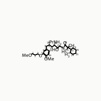 COCCCOc1cc(C[C@@H](C[C@H](N)[C@@H](O)CNC(=O)C(C)(C)C2CCCCC2)C(C)C)ccc1OC